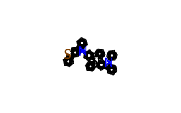 c1ccc(-n2c3ccccc3c3ccc([Si](c4ccccc4)(c4ccccc4)c4ccc(-n5c6ccccc6c6cc7sc8ccccc8c7cc65)cc4)cc32)cc1